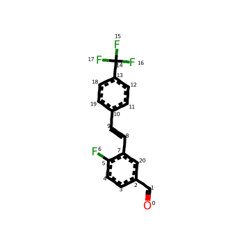 O=Cc1ccc(F)c(/C=C/c2ccc(C(F)(F)F)cc2)c1